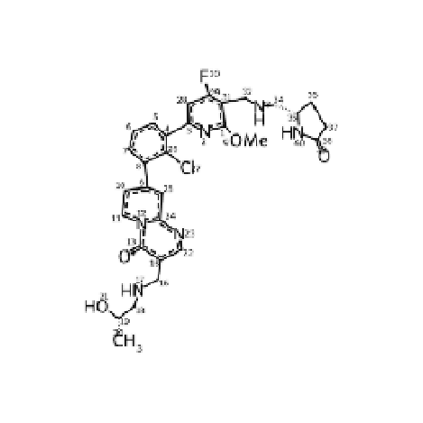 COc1nc(-c2cccc(-c3ccn4c(=O)c(CNC[C@H](C)O)cnc4c3)c2Cl)cc(F)c1CNC[C@@H]1CCC(=O)N1